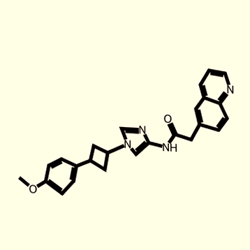 COc1ccc(C2CC(n3cnc(NC(=O)Cc4ccc5ncccc5c4)c3)C2)cc1